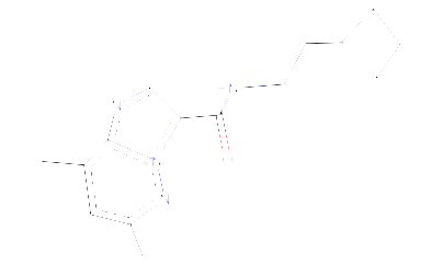 Cc1cc(C)c2ncc(C(=O)NCCC3CCC3)n2n1